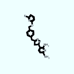 Nc1ccc(C2CC(Cc3ccc(COc4cccc(F)n4)cc3)=NO2)c(N)n1